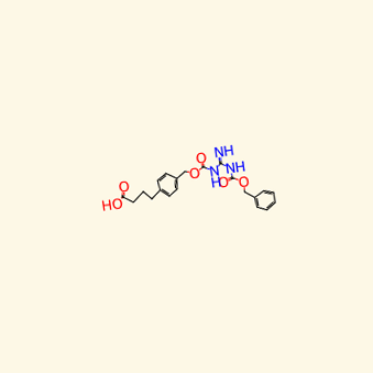 N=C(NC(=O)OCc1ccccc1)NC(=O)OCc1ccc(CCCC(=O)O)cc1